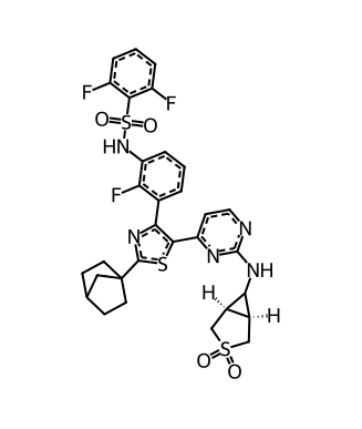 O=S1(=O)C[C@@H]2C(Nc3nccc(-c4sc(C56CCC(CC5)C6)nc4-c4cccc(NS(=O)(=O)c5c(F)cccc5F)c4F)n3)[C@@H]2C1